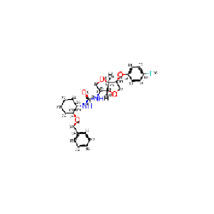 O=C(N[C@H]1CO[C@H]2[C@@H]1OC[C@@H]2Oc1ccc(F)cc1)N[C@H]1CCCC[C@@H]1OCc1ccccc1